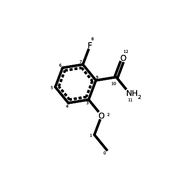 CCOc1cccc(F)c1C(N)=O